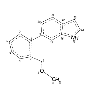 COCc1cc[c]cc1-c1ccc2cc[nH]c2c1